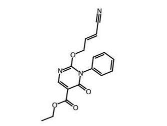 CCOC(=O)c1cnc(OCC=CC#N)n(-c2ccccc2)c1=O